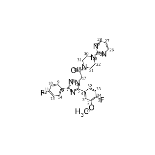 COc1cc(-c2nc(-c3ccc(F)cc3)nn2CC(=O)N2CCN(c3ncccn3)CC2)ccc1F